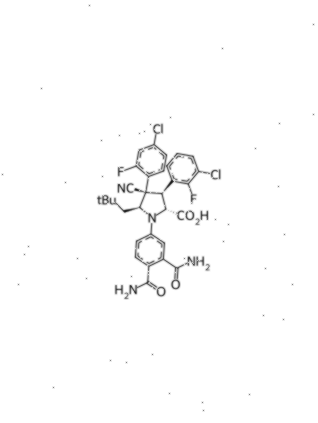 CC(C)(C)C[C@@H]1N(c2ccc(C(N)=O)c(C(N)=O)c2)[C@@H](C(=O)O)[C@H](c2cccc(Cl)c2F)[C@@]1(C#N)c1ccc(Cl)cc1F